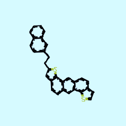 c1ccc2cc(CCc3cc4ccc5cc6c(ccc7ccsc76)cc5c4s3)ccc2c1